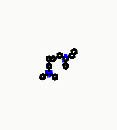 c1ccc(-c2cc(-c3ccc4ccccc4c3)nc(-c3cccc(-c4ccc5c(-c6ccc(-c7nc(-c8ccccc8)nc(-c8ccccc8)n7)cc6)cccc5c4)c3)n2)cc1